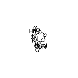 COC(=O)N[C@H]1C[C@H]2C[C@@H]1OCC(C)Oc1ccc(cc1)-c1c(-c3cn(C)nc3F)n(S(=O)(=O)c3ccccc3)c3ncc4c(c13)n2c(=O)n4C